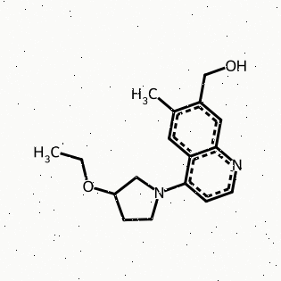 CCOC1CCN(c2ccnc3cc(CO)c(C)cc23)C1